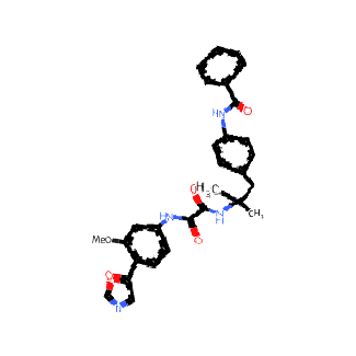 COc1cc(NC(=O)C(=O)NC(C)(C)Cc2ccc(NC(=O)c3ccccc3)cc2)ccc1-c1cnco1